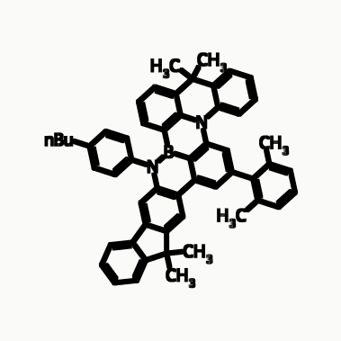 CCCCc1ccc(N2B3c4cccc5c4N(c4ccccc4C5(C)C)c4cc(-c5c(C)cccc5C)cc(c43)-c3cc4c(cc32)-c2ccccc2C4(C)C)cc1